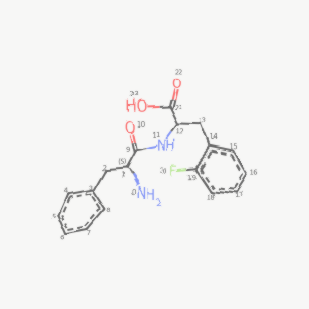 N[C@@H](Cc1ccccc1)C(=O)NC(Cc1ccccc1F)C(=O)O